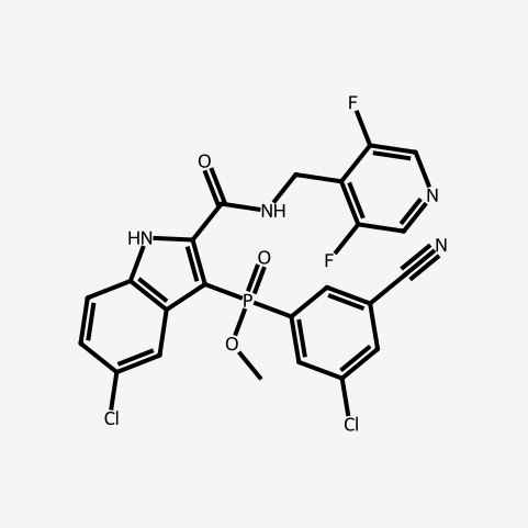 COP(=O)(c1cc(Cl)cc(C#N)c1)c1c(C(=O)NCc2c(F)cncc2F)[nH]c2ccc(Cl)cc12